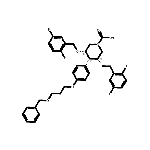 O=C(O)N1C[C@H](OCc2cc(F)ccc2F)[C@H](c2ccc(OCCCOCc3ccccc3)cc2)[C@H](OCc2cc(F)ccc2F)C1